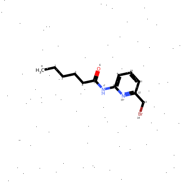 CCCCCC(=O)Nc1cccc(CBr)n1